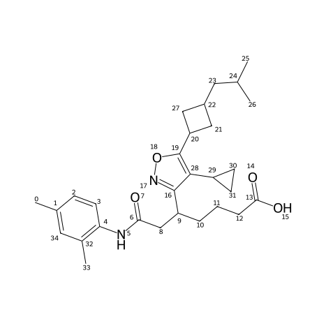 Cc1ccc(NC(=O)CC(CCCC(=O)O)c2noc(C3CC(CC(C)C)C3)c2C2CC2)c(C)c1